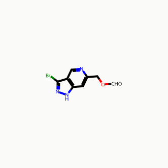 O=COCc1cc2[nH]nc(Br)c2cn1